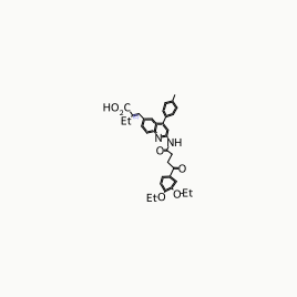 CCOc1ccc(C(=O)CCC(=O)Nc2cc(-c3ccc(C)cc3)c3cc(/C=C(\CC)C(=O)O)ccc3n2)cc1OCC